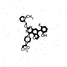 C=CC(=O)N1CCN(c2nc(OC[C@@H]3CCCN3C)nc3cc(-c4c(O)cccc4F)c4ccoc4c23)CC1